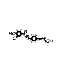 O=C(N/N=C/c1ccc(C#CCCO)cc1)c1ccc(O)c(Cl)c1